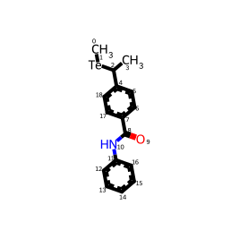 C[Te]C(C)c1ccc(C(=O)Nc2ccccc2)cc1